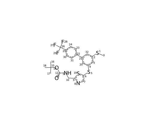 CSc1cc(Sc2cnc(CNC(=O)OC(C)(C)C)s2)cc(-c2ccc(C(F)(F)F)cc2)c1